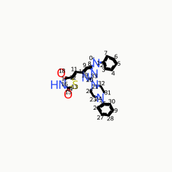 CN(c1ccccc1)c1cc(/C=C2\SC(=O)NC2=O)nc(N2CCN(c3ccccc3)CC2)n1